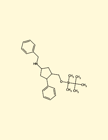 CC(C)(C)[Si](C)(C)OCC1CC(NCc2ccccc2)CC1c1ccccc1